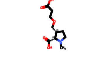 CN1CC[C@@H](COCCC(=O)O)[C@H]1C(=O)O